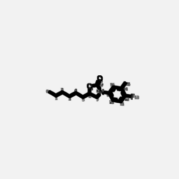 CCCCCCC1CN(c2ccc(F)c(C)c2)C(=O)O1